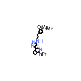 CCCc1nc2sc3c(NCCCc4ccc(OC)c(OC)c4)ncnc3c2c2c1CCC2